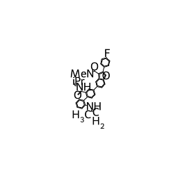 C=C(C)Nc1ccccc1-c1ccc(-c2ccc3oc(-c4ccc(F)cc4)c(C(=O)NC)c3c2)cc1C(=O)NCC(C)C